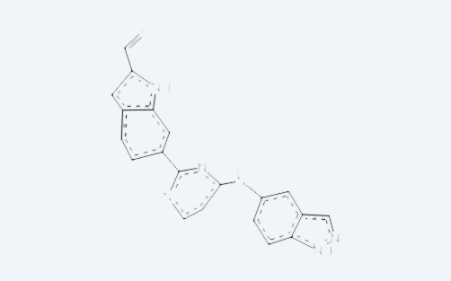 O=Cc1cc2ccc(-c3nccc(Nc4ccc5[nH]ncc5c4)n3)cc2[nH]1